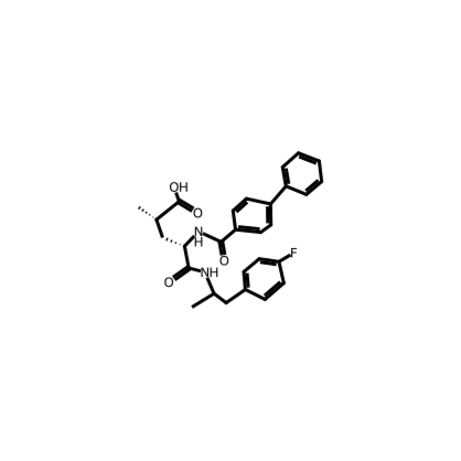 CC(Cc1ccc(F)cc1)NC(=O)[C@H](C[C@H](C)C(=O)O)NC(=O)c1ccc(-c2ccccc2)cc1